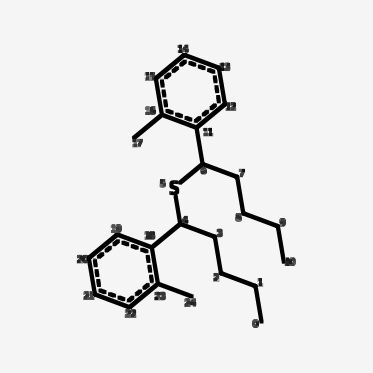 CCCCC(SC(CCCC)c1ccccc1C)c1ccccc1C